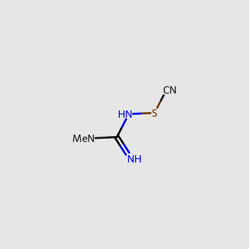 CNC(=N)NSC#N